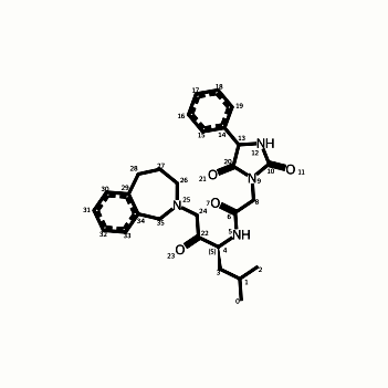 CC(C)C[C@H](NC(=O)CN1C(=O)NC(c2ccccc2)C1=O)C(=O)CN1CCCc2ccccc2C1